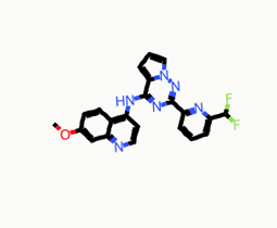 COc1ccc2c(Nc3nc(-c4cccc(C(F)F)n4)nn4cccc34)ccnc2c1